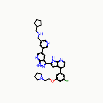 Fc1cc(OCCN2CCCC2)cc(-c2ccnc3[nH]c(-c4n[nH]c5ncc(-c6cncc(CNCC7CCCC7)c6)cc45)cc23)c1